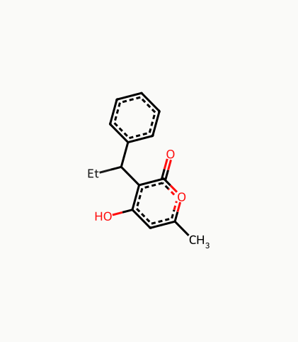 CCC(c1ccccc1)c1c(O)cc(C)oc1=O